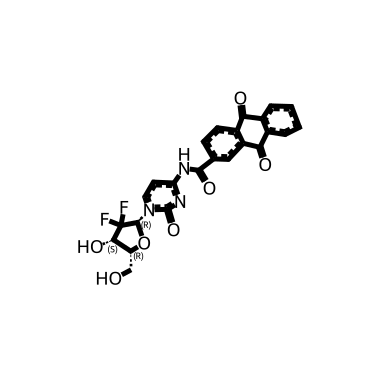 O=C(Nc1ccn([C@@H]2O[C@H](CO)[C@H](O)C2(F)F)c(=O)n1)c1ccc2c(c1)C(=O)c1ccccc1C2=O